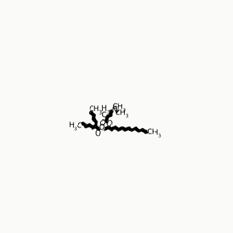 CCCCCCCCCCCCC(COC(=O)C(CCCCC)CCCCC)OC(=O)C(C)CCN(C)C